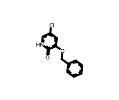 O=c1[nH]cc(Cl)cc1OCc1ccccc1